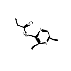 CCC(=O)Nc1ncc(C)nc1C